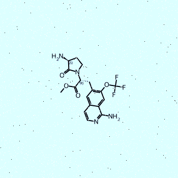 COC(=O)[C@@H](Cc1cc2ccnc(N)c2cc1OC(F)(F)F)N1CC[C@H](N)C1=O